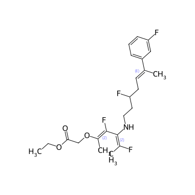 CCOC(=O)CO/C(C)=C(F)/C(NCCC(F)C/C=C(\C)c1cccc(F)c1)=C(\C)F